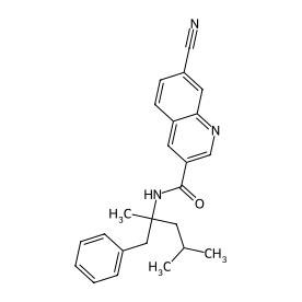 CC(C)CC(C)(Cc1ccccc1)NC(=O)c1cnc2cc(C#N)ccc2c1